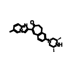 Cc1ccc2nc(C3=Cc4ccc(N5C[C@@H](C)N[C@@H](C)C5)cc4CCC3=O)cn2c1